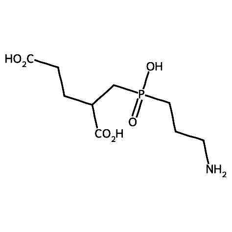 NCCCP(=O)(O)CC(CCC(=O)O)C(=O)O